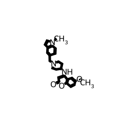 COc1ccc2oc(=O)cc(NC3CCN(Cc4ccc5c(ccn5C)c4)CC3)c2c1